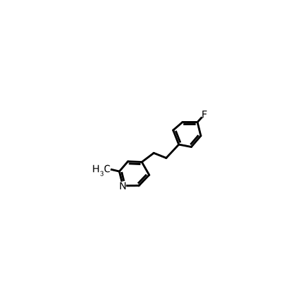 Cc1cc(CCc2ccc(F)cc2)ccn1